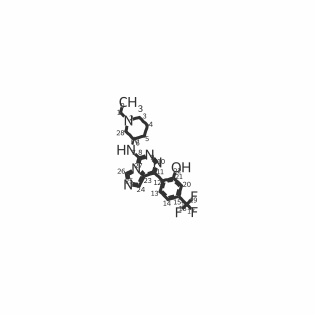 CCN1CCC[C@@H](Nc2nnc(-c3ccc(C(F)(F)F)cc3O)c3cncn23)C1